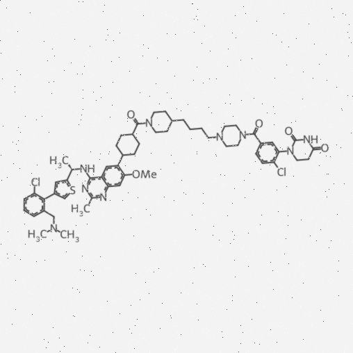 COc1cc2nc(C)nc(N[C@H](C)c3cc(-c4c(Cl)cccc4CN(C)C)cs3)c2cc1C1CCC(C(=O)N2CCC(CCCCN3CCN(C(=O)c4ccc(Cl)c(N5CCC(=O)NC5=O)c4)CC3)CC2)CC1